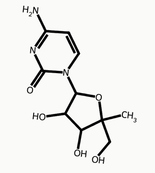 CC1(CO)OC(n2ccc(N)nc2=O)C(O)C1O